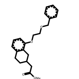 COC(=O)CC1CCc2cccc(OCCOCc3ccccc3)c2C1